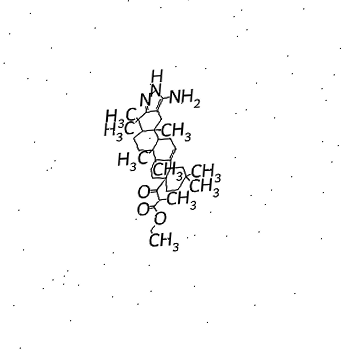 CCOC(=O)C(C)C(=O)[C@]12CCC(C)(C)CC1C1=CCC3[C@@]4(C)Cc5c(n[nH]c5N)C(C)(C)C4CC[C@@]3(C)[C@]1(C)CC2